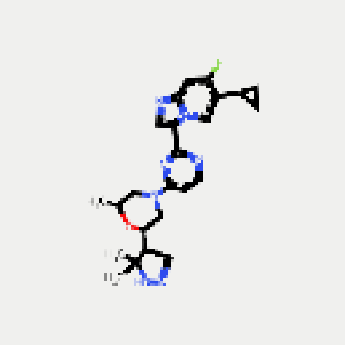 C[C@H]1CN(c2ccnc(-c3cnc4cc(F)c(C5CC5)cn34)n2)C[C@@H](C2C=NNC2(C)C)O1